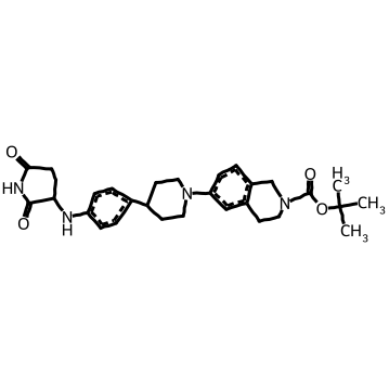 CC(C)(C)OC(=O)N1CCc2cc(N3CCC(c4ccc(NC5CCC(=O)NC5=O)cc4)CC3)ccc2C1